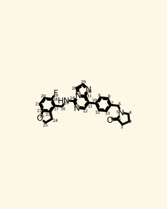 O=C1CCCN1Cc1ccc(-c2cnc(NCc3c(F)ccc4c3CCO4)n3ccnc23)cc1